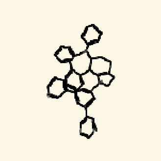 c1ccc(N2c3ccccc3-c3ccccc3C3C4=C(CCC32)CCN4c2cc(-c3cccnc3)cc(-c3cccnc3)c2)cc1